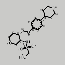 CCS(=O)(=O)N[C@H]1COCC[C@@H]1COc1ccc(C2CCOCC2)cc1